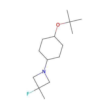 CC1(F)CN(C2CCC(OC(C)(C)C)CC2)C1